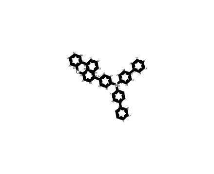 c1ccc(-c2ccc(N(c3ccc(-c4ccccc4)cc3)c3ccc(-c4ccc5c6c(cccc46)-c4ccccc4O5)cc3)cc2)cc1